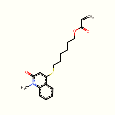 C=CC(=O)OCCCCCCSc1cc(=O)n(C)c2ccccc12